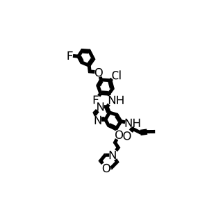 CC#CC(=O)Nc1cc2c(Nc3cc(Cl)c(OCc4cccc(F)c4)cc3F)ncnc2cc1OCCN1CCOCC1